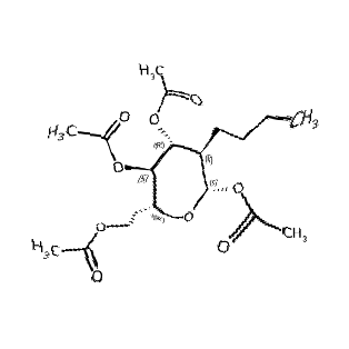 CCCC[C@H]1[C@H](OC(C)=O)O[C@H](COC(C)=O)[C@@H](OC(C)=O)[C@@H]1OC(C)=O